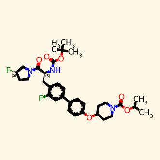 CC(C)OC(=O)N1CCC(Oc2ccc(-c3ccc(C[C@H](NC(=O)OC(C)(C)C)C(=O)N4CC[C@H](F)C4)c(F)c3)cc2)CC1